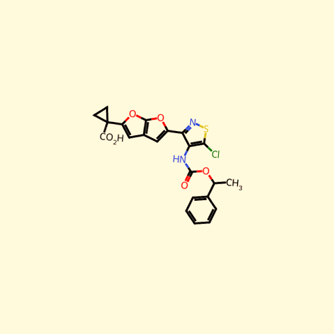 CC(OC(=O)Nc1c(-c2cc3cc(C4(C(=O)O)CC4)oc3o2)nsc1Cl)c1ccccc1